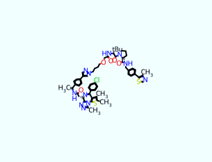 Cc1ncsc1-c1ccc(CNC(=O)[C@@H]2CCCN2C(=O)C(NC(=O)COCCCCn2cc(-c3ccc([C@@H](C)NC(=O)C[C@@H]4N=C(c5ccc(Cl)cc5)c5c(sc(C)c5C)-n5c(C)nnc54)cc3)cn2)C(C)(C)C)cc1